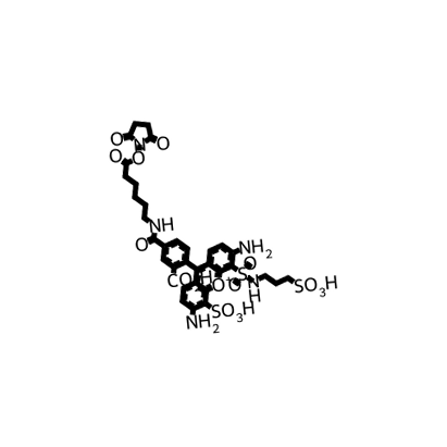 Nc1ccc2c(-c3ccc(C(=O)NCCCCCC(=O)ON4C(=O)CCC4=O)cc3C(=O)O)c3ccc(N)c(S(=O)(=O)NCCCS(=O)(=O)O)c3[o+]c2c1S(=O)(=O)O